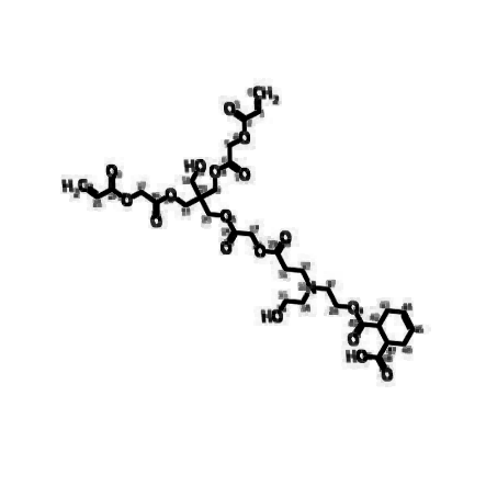 C=CC(=O)OCC(=O)OCC(CO)(COC(=O)COC(=O)C=C)COC(=O)COC(=O)CCN(CCO)CCOC(=O)C1CC=CCC1C(=O)O